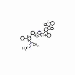 C=C/C(=C\C=C/C)c1cc(-c2cccc(C(=C)/C=C\C(=C/C)c3nc4ccccc4c4c5c(ccc34)C3(c4ccccc4Sc4ccccc43)c3ccccc3-5)c2)nc(-c2ccccc2)n1